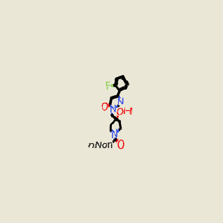 CCCCCCCCCC(=O)N1CCC(O)(Cn2cnc(-c3ccccc3F)cc2=O)CC1